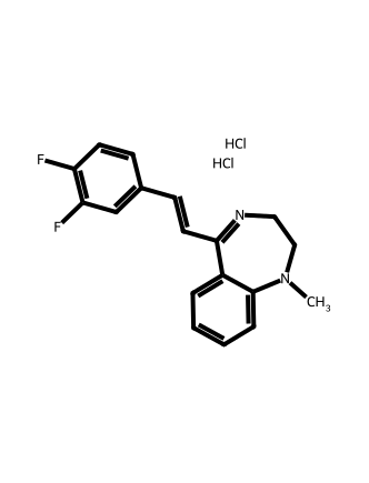 CN1CCN=C(C=Cc2ccc(F)c(F)c2)c2ccccc21.Cl.Cl